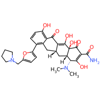 CN(C)[C@H]1C(O)=C(C(N)=O)C(=O)[C@@]2(O)C(O)=C3C(=O)c4c(O)ccc(-c5ccc(CN6CCCC6)o5)c4C[C@H]3C[C@@H]12